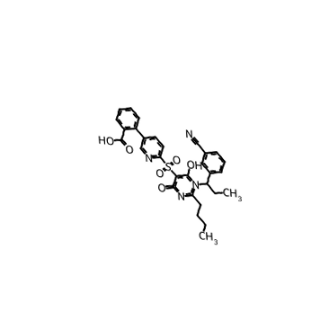 CCCCc1nc(=O)c(S(=O)(=O)c2ccc(-c3ccccc3C(=O)O)cn2)c(O)n1C(CC)c1cccc(C#N)c1